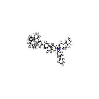 CC1(C)c2ccccc2-c2ccc(N(c3ccc(-c4ccccc4)cc3)c3ccc4c(ccc5cc(-c6ccc7c(c6)-c6ccccc6C76c7ccccc7C(C)(C)c7ccccc76)ccc54)c3)cc21